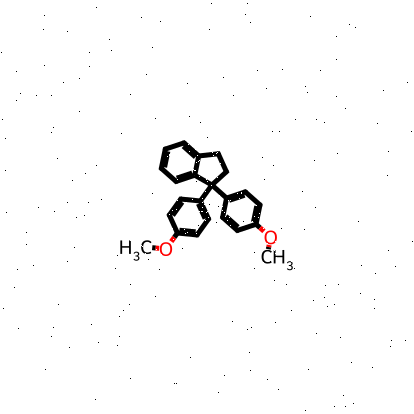 COc1ccc(C2(c3ccc(OC)cc3)CCc3ccccc32)cc1